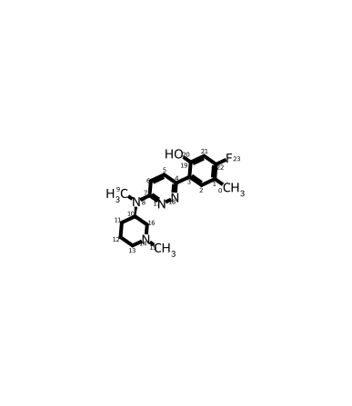 Cc1cc(-c2ccc(N(C)[C@@H]3CCCN(C)C3)nn2)c(O)cc1F